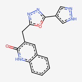 O=c1[nH]c2ccccc2cc1Cc1nnc(-c2cn[nH]c2)o1